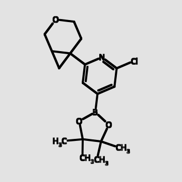 CC1(C)OB(c2cc(Cl)nc(C34CCOCC3C4)c2)OC1(C)C